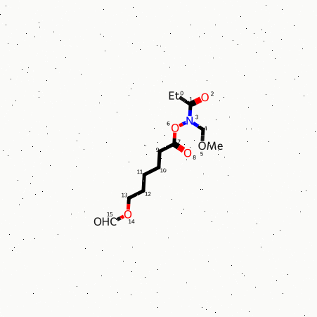 CCC(=O)N(COC)OC(=O)CCCCCOC=O